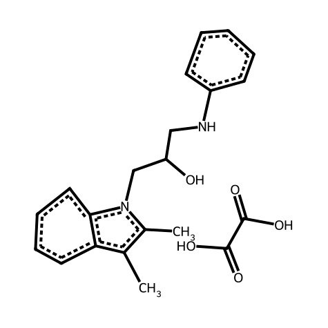 Cc1c(C)n(CC(O)CNc2ccccc2)c2ccccc12.O=C(O)C(=O)O